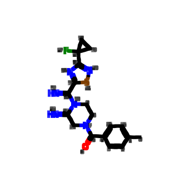 Cc1ccc(C(=O)N2CCN(C(=N)c3nc(C4(F)CC4)ns3)C(=N)C2)cc1